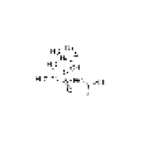 CCCS(=O)(=O)O.CN(C)C(O)=S.NC(O)=S.[NaH]